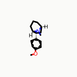 COc1ccc([C@H]2C[C@@H]3CCC[C@H]2N3C)cc1